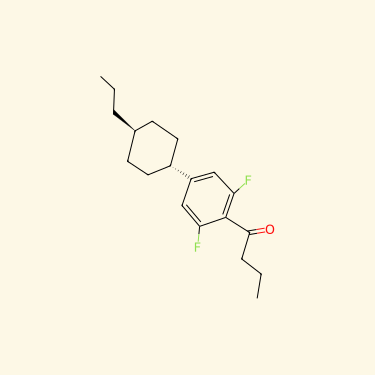 CCCC(=O)c1c(F)cc([C@H]2CC[C@H](CCC)CC2)cc1F